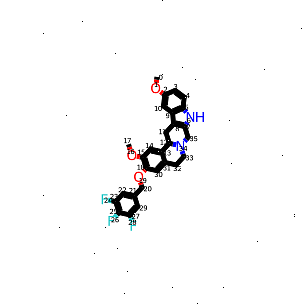 COc1ccc2[nH]c3c(c2c1)CC1c2cc(OC)c(OCc4cc(F)c(F)c(F)c4)cc2CCN1C3